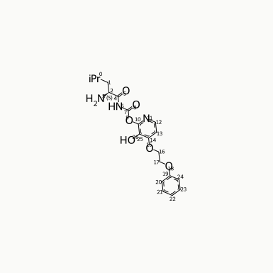 CC(C)C[C@H](N)C(=O)NC(=O)Oc1nccc(OCCOc2ccccc2)c1O